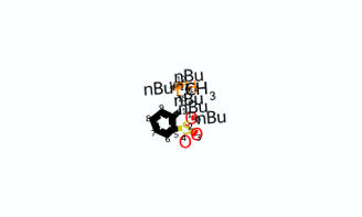 CCCCOS(=O)(=O)c1ccccc1CCCC.CCCC[PH](C)(CCCC)CCCC